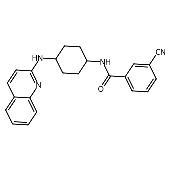 N#Cc1cccc(C(=O)NC2CCC(Nc3ccc4ccccc4n3)CC2)c1